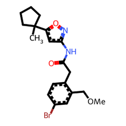 COCc1cc(Br)ccc1CC(=O)Nc1cc(C2(C)CCCC2)on1